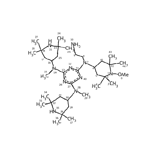 CON1C(C)(C)CC(N(CCN)c2nc(N(C)C3CC(C)(C)NC(C)(C)C3)nc(N(C)C3CC(C)(C)NC(C)(C)C3)n2)CC1(C)C